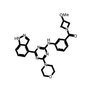 COC1CN(C(=O)c2cccc(Nc3nc(-c4cccc5[nH]ncc45)nc(N4CCOCC4)n3)c2)C1